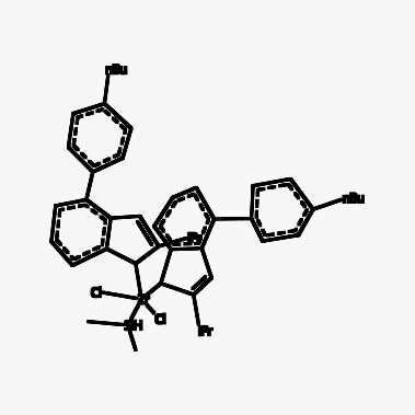 CCCCc1ccc(-c2cccc3c2C=C(C(C)C)[CH]3[Zr]([Cl])([Cl])([CH]2C(C(C)C)=Cc3c(-c4ccc(CCCC)cc4)cccc32)[SiH](C)C)cc1